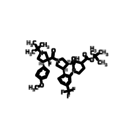 COc1ccc([C@@H]2CN(C(C)(C)C)C[C@@]2(F)C(=O)N2C[C@H](CO)[C@@H](c3ccc(C(F)(F)F)cc3N3CCC(C(=O)OC(C)(C)C)CC3)C2)cc1